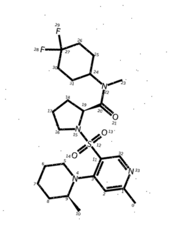 Cc1cc(N2CCCC[C@@H]2C)c(S(=O)(=O)N2CCC[C@H]2C(=O)N(C)C2CCC(F)(F)CC2)cn1